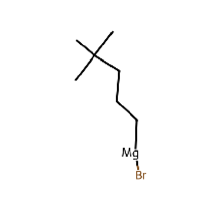 CC(C)(C)CC[CH2][Mg][Br]